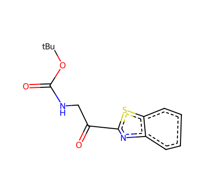 CC(C)(C)OC(=O)NCC(=O)c1nc2ccccc2s1